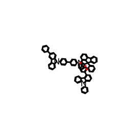 c1ccc(-c2ccc3c(c2)c2ccccc2n3-c2ccc(-c3ccc(N(c4ccc(-c5cccc6c5c5ccccc5n6-c5ccccc5)cc4)c4cccc5c4C4(c6ccccc6-c6ccccc64)c4ccccc4-5)cc3)cc2)cc1